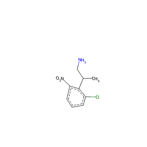 CC(CN)c1c(Cl)cccc1[N+](=O)[O-]